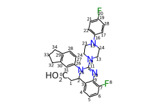 O=C(O)CC1c2cccc(F)c2N=C(N2CCN(c3ccc(F)cc3)CC2)N1c1ccc2c(c1)CCC2